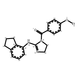 CCOc1ccc(C(=O)N2CCN=C2Nc2cccc3c2CCC3)cc1